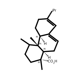 CC(C)C1=CC2=CC[C@@H]3[C@](C)(C(C)CC[C@@]3(C)C(=O)O)[C@H]2CC1